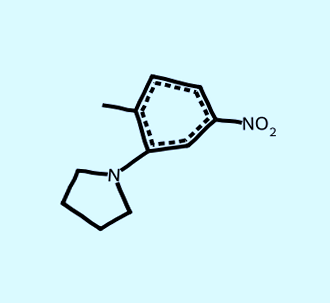 Cc1ccc([N+](=O)[O-])cc1N1CCCC1